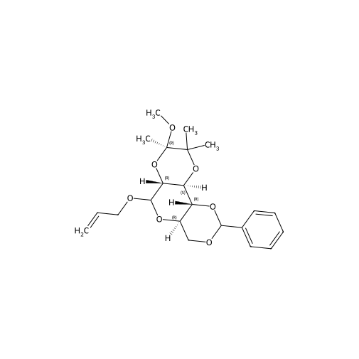 C=CCOC1O[C@@H]2COC(c3ccccc3)O[C@H]2[C@@H]2OC(C)(C)[C@](C)(OC)O[C@@H]12